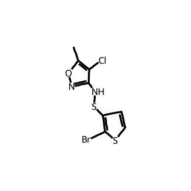 Cc1onc(NSc2ccsc2Br)c1Cl